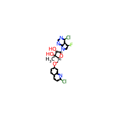 C[C@@]1(O)[C@@H](COc2ccc3ccc(Cl)nc3c2)O[C@@H](n2cc(F)c3c(Cl)ncnc32)[C@@H]1O